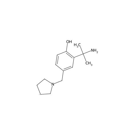 CC(C)(N)c1cc(CN2C[CH]CC2)ccc1O